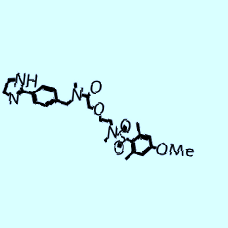 COc1cc(C)c(S(=O)(=O)N(C)CCOCC(=O)N(C)Cc2ccc(C3=NCCN3)cc2)c(C)c1